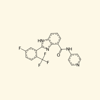 O=C(Nc1ccncc1)c1cccc2[nH]c(-c3cc(F)ccc3C(F)(F)F)nc12